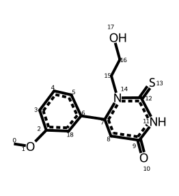 COc1cccc(-c2cc(=O)[nH]c(=S)n2CCO)c1